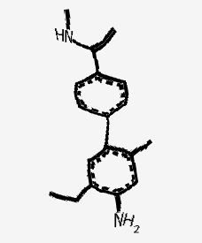 C=C(NC)c1ccc(-c2cc(CC)c(N)cc2C)cc1